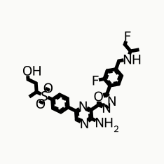 CC(CF)NCc1ccc(-c2nnc(-c3nc(-c4ccc(S(=O)(=O)C(C)CCO)cc4)cnc3N)o2)c(F)c1